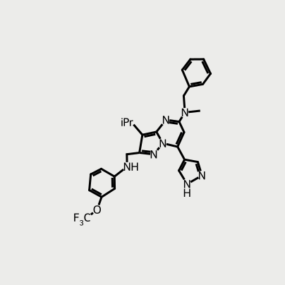 CC(C)c1c(CNc2cccc(OC(F)(F)F)c2)nn2c(-c3cn[nH]c3)cc(N(C)Cc3ccccc3)nc12